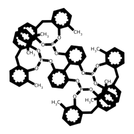 Cc1cccc2c1OP(Oc1cccc(OP3Oc4c(C)cccc4Cc4cccc(C)c4O3)c1-c1c(OP3Oc4c(C)cccc4Cc4cccc(C)c4O3)cccc1OP1Oc3c(C)cccc3Cc3cccc(C)c3O1)Oc1c(C)cccc1C2